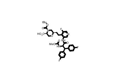 COC(=O)NC(C(=O)Nc1cncc(F)c1CC[C@@H]1CN(C(=O)OC(C)(C)C)[C@H](C(=O)O)CO1)C(c1ccc(F)cc1)c1ccc(F)cc1